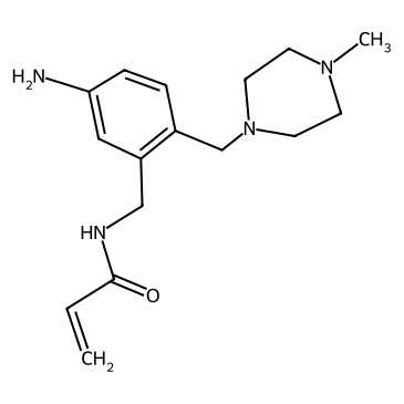 C=CC(=O)NCc1cc(N)ccc1CN1CCN(C)CC1